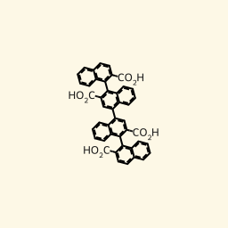 O=C(O)c1ccc2ccccc2c1-c1c(C(=O)O)cc(-c2cc(C(=O)O)c(-c3c(C(=O)O)ccc4ccccc34)c3ccccc23)c2ccccc12